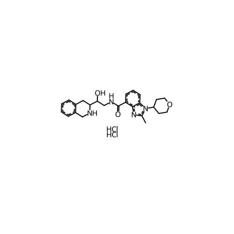 Cc1nc2c(C(=O)NCC(O)C3Cc4ccccc4CN3)cccc2n1C1CCOCC1.Cl.Cl